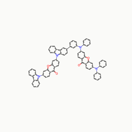 O=c1c2ccc(N(c3ccccc3)c3ccccc3)cc2oc2cc(N(c3ccccc3)c3cccc(-c4ccc5c(c4)c4ccccc4n5-c4ccc5c(=O)c6ccc(-n7c8ccccc8c8ccccc87)cc6oc5c4)c3)ccc12